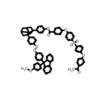 COc1ccc(C2(c3ccc(OOc4ccc(C56CC7CC(C5)CC(c5ccc(OC(=O)c8ccc(Oc9ccc(S(=O)(=O)c%10ccc(Oc%11ccc(C(C)=O)cc%11)cc%10)cc9)cc8)cc5)(C7)C6)cc4)cc3)c3ccccc3-c3ccccc32)cc1